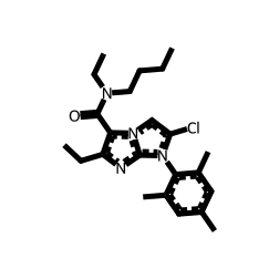 CCCCN(CC)C(=O)c1c(CC)nc2n(-c3c(C)cc(C)cc3C)c(Cl)cn12